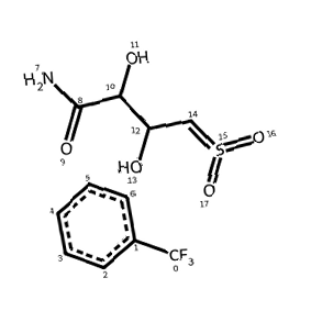 FC(F)(F)c1ccccc1.NC(=O)C(O)C(O)C=S(=O)=O